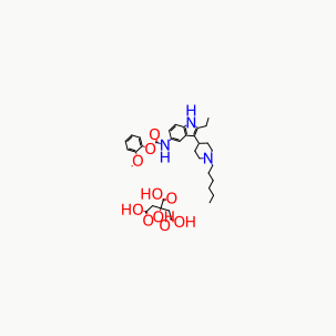 CCCCCCN1CCC(c2c(CC)[nH]c3ccc(NC(=O)Oc4ccccc4OC)cc23)CC1.O=C(O)CC(O)(CC(=O)O)C(=O)O